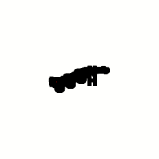 CCCCCCCNC[C@H]1CC[C@H](C(=O)Oc2ccc(C(=O)Oc3ccc(C(=O)OCC(C)CC)cc3)cc2)CC1